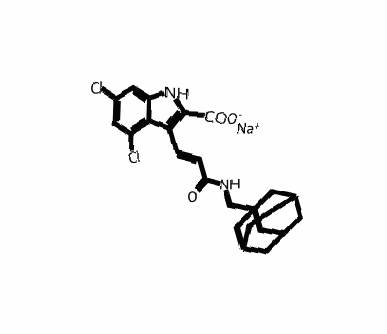 O=C(C=Cc1c(C(=O)[O-])[nH]c2cc(Cl)cc(Cl)c12)NCC12CC3CC(CC(C3)C1)C2.[Na+]